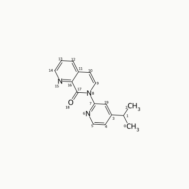 CC(C)c1ccnc(-n2ccc3cccnc3c2=O)c1